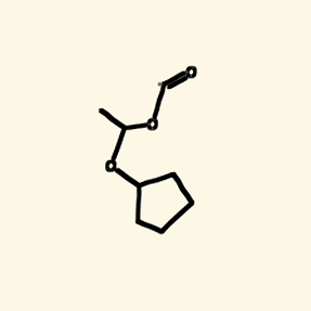 CC(O[C]=O)OC1CCCC1